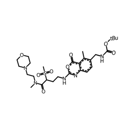 Cc1c(CNC(=O)OC(C)(C)C)ccc2nc(NCCC(C(=O)N(C)CCN3CCOCC3)S(C)(=O)=O)oc(=O)c12